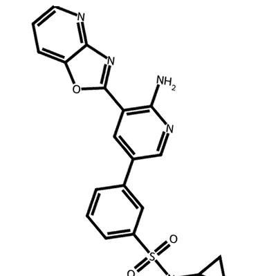 Nc1ncc(-c2cccc(S(=O)(=O)NC3CC3)c2)cc1-c1nc2ncccc2o1